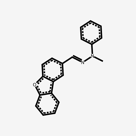 CN(N=Cc1ccc2oc3ccccc3c2c1)c1ccccc1